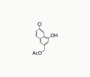 CC(=O)OCc1cc(O)c2cc(Cl)ccc2c1